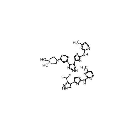 Cc1ccnc(Nc2nc(-c3c[nH]nc3-c3cccc(N4CCS(O)(O)CC4)c3)cs2)n1.Cc1ccnc(Nc2nc(-c3c[nH]nc3C(F)F)cs2)n1